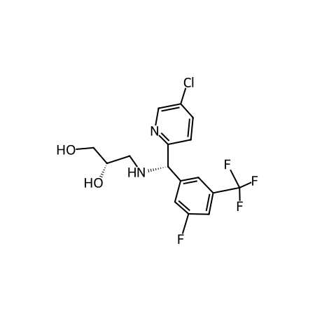 OC[C@@H](O)CN[C@@H](c1cc(F)cc(C(F)(F)F)c1)c1ccc(Cl)cn1